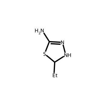 CCC1NN=C(N)S1